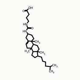 CC(C)CCCCC1CCC2C1(C)CCC1C3(C)CCC(NC(=O)NCCCC(=O)O)CC3=CCC12C